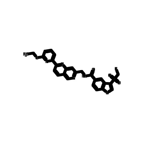 O=C(NCc1cc2nc(-c3cccc(OCC(F)(F)F)n3)ccc2cn1)c1ccc2occ(S(=O)(=O)CF)c2c1